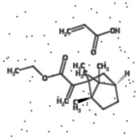 C=C(C(=O)OCC)C1(C)C[C@H]2CC[C@@]1(C)C2(C)C.C=CC(=O)O